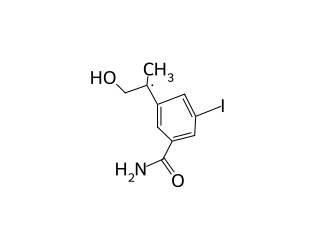 C[C](CO)c1cc(I)cc(C(N)=O)c1